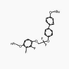 CCCCOc1ccc(-c2ccc(OC(F)(F)COc3ccc(OCCC)c(F)c3F)cc2)cc1